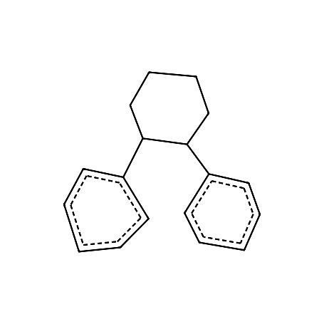 c1ccc(C2CCCCC2c2ccccc2)cc1